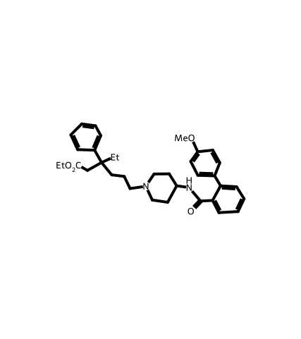 CCOC(=O)CC(CC)(CCCN1CCC(NC(=O)c2ccccc2-c2ccc(OC)cc2)CC1)c1ccccc1